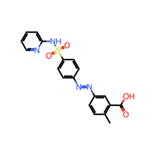 Cc1ccc(/N=N/c2ccc(S(=O)(=O)Nc3ccccn3)cc2)cc1C(=O)O